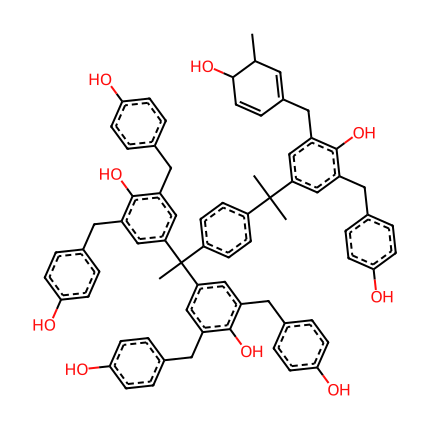 CC1C=C(Cc2cc(C(C)(C)c3ccc(C(C)(c4cc(Cc5ccc(O)cc5)c(O)c(Cc5ccc(O)cc5)c4)c4cc(Cc5ccc(O)cc5)c(O)c(Cc5ccc(O)cc5)c4)cc3)cc(Cc3ccc(O)cc3)c2O)C=CC1O